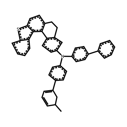 CC1C=CC=C(c2ccc(N(c3ccc(-c4ccccc4)cc3)c3ccc4c(c3)CCc3ccc5sc6ccccc6c5c3-4)cc2)C1